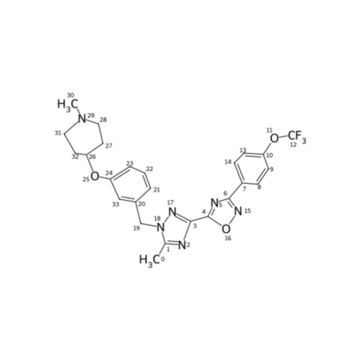 Cc1nc(-c2nc(-c3ccc(OC(F)(F)F)cc3)no2)nn1Cc1cccc(OC2CCN(C)CC2)c1